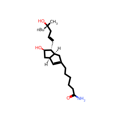 CCCC[C@](C)(O)C/C=C/[C@@H]1[C@H]2CC(CCCCCC(N)=O)=C[C@H]2C[C@H]1O